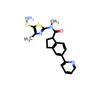 Cc1nc(N(C)C(=O)C2CCc3cc(-c4ccccn4)ccc32)sc1SN